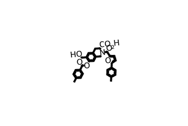 Cc1ccc(C(=O)Oc2cc3c(cc2CO)CC(C(=O)O)N(C(=O)c2ccc(-c4ccc(C)cc4)o2)C3)cc1